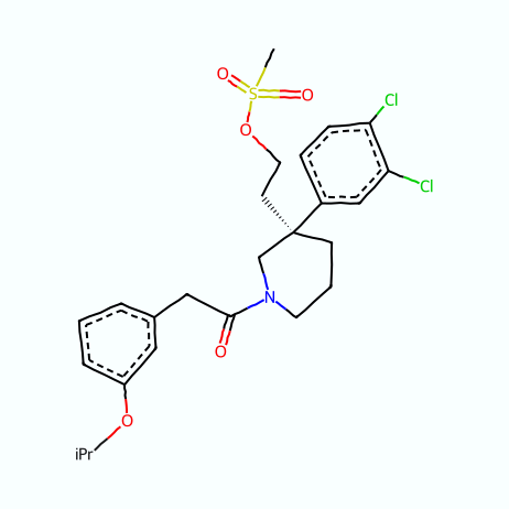 CC(C)Oc1cccc(CC(=O)N2CCC[C@](CCOS(C)(=O)=O)(c3ccc(Cl)c(Cl)c3)C2)c1